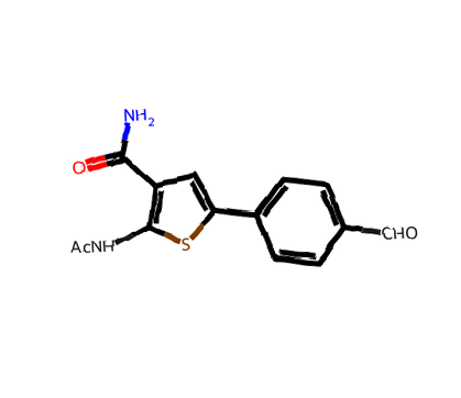 CC(=O)Nc1sc(-c2ccc(C=O)cc2)cc1C(N)=O